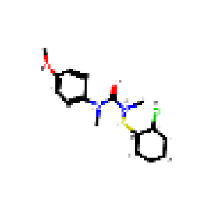 COc1ccc(N(C)C(=O)N(C)SC2CCCCC2Cl)cc1